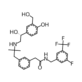 CC(C)(Cc1cccc(CC(=O)NCc2cc(F)cc(C(F)(F)F)c2)c1)NC[C@H](O)c1ccc(O)c(CO)c1